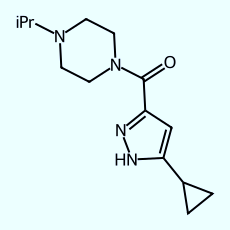 CC(C)N1CCN(C(=O)c2cc(C3CC3)[nH]n2)CC1